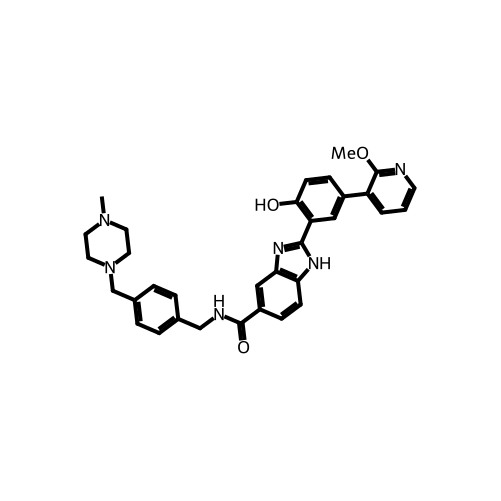 COc1ncccc1-c1ccc(O)c(-c2nc3cc(C(=O)NCc4ccc(CN5CCN(C)CC5)cc4)ccc3[nH]2)c1